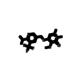 CSc1c(OCc2cnc(C(C)C)c(C(F)(F)F)c2)cc(C)n(C)c1=O